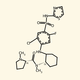 CN1CCC[C@H]1C(=O)N(C)[C@H]1CCCCC1Nc1cc(F)c(S(=O)(=O)Nc2nccs2)cc1Cl